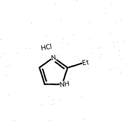 CCc1ncc[nH]1.Cl